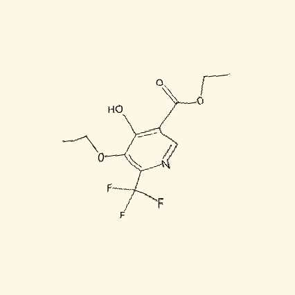 CCOC(=O)c1cnc(C(F)(F)F)c(OCC)c1O